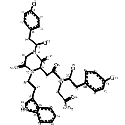 NC(=O)CN(C(=O)CC1C(=O)N(C(Cl)Cc2ccc(Cl)cc2)CC(=O)N1CCc1c[nH]c2ccccc12)C(Cl)Cc1ccc(Cl)cc1